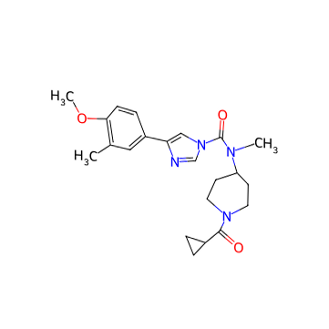 COc1ccc(-c2cn(C(=O)N(C)C3CCN(C(=O)C4CC4)CC3)cn2)cc1C